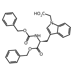 O=C(O)Cn1cc(C[C@H](NC(=O)OCc2ccccc2)C(=O)OCc2ccccc2)c2ccccc21